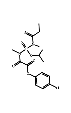 CCC(=S)N(C)P(=S)(SC(C)C)N(C)C(=O)C(=O)Oc1ccc(Cl)cc1